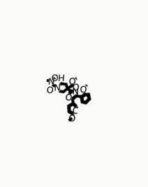 COC(=O)C1(c2nc(-c3ccccc3OC)c(-c3ccc(OC)cc3)o2)CCN(C(=O)N(C)O)CC1